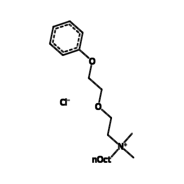 CCCCCCCC[N+](C)(C)CCOCCOc1ccccc1.[Cl-]